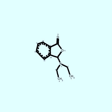 CCN(CC)C1OC(=O)c2ccccc21